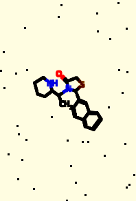 CC(C1CCCCN1)N1C(=O)CSC1c1ccc2ccccc2c1